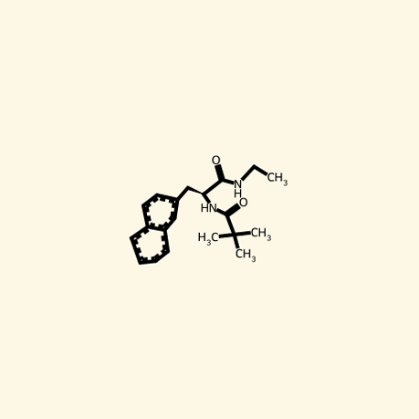 CCNC(=O)[C@H](Cc1ccc2ccccc2c1)NC(=O)C(C)(C)C